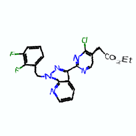 CCOC(=O)Cc1cnc(-c2nn(Cc3cccc(F)c3F)c3ncccc23)nc1Cl